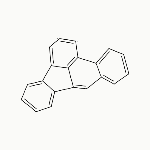 [c]1[c]c2c3c(c1)-c1ccccc1-c3cc1ccccc12